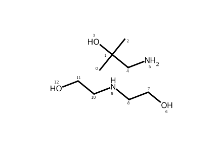 CC(C)(O)CN.OCCNCCO